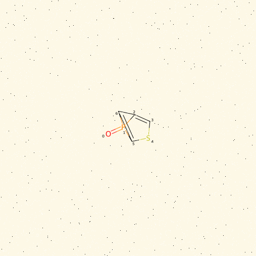 O=P12c3csc1c32